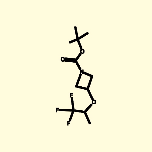 CC(OC1CN(C(=O)OC(C)(C)C)C1)C(F)(F)F